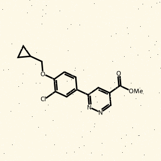 COC(=O)c1cnnc(-c2ccc(OCC3CC3)c(Cl)c2)c1